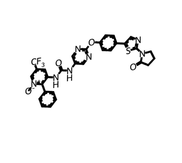 O=C(Nc1cnc(Oc2ccc(-c3cnc(N4CCCC4=O)s3)cc2)nc1)Nc1cc(C(F)(F)F)c[n+]([O-])c1-c1ccccc1